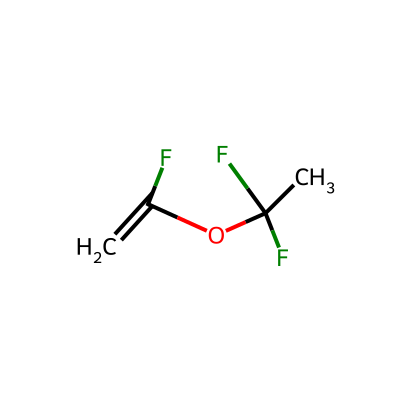 C=C(F)OC(C)(F)F